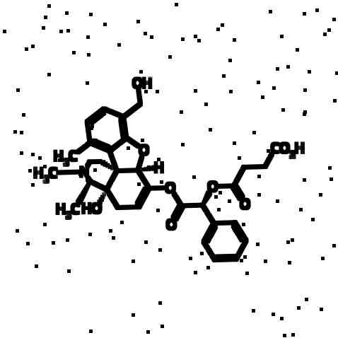 Cc1ccc(CO)c2c1[C@]13CCN(C)[C@H](C)[C@]1(O)CC=C(OC(=O)[C@@H](OC(=O)CCC(=O)O)c1ccccc1)[C@@H]3O2